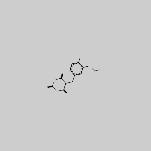 CCOc1cc(CC2C(=O)NC(=O)NC2=O)ccc1O